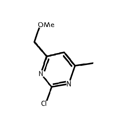 COCc1cc(C)nc(Cl)n1